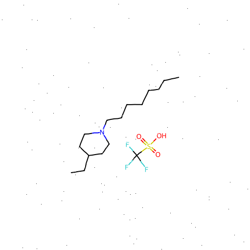 CCCCCCCCN1CCC(CC)CC1.O=S(=O)(O)C(F)(F)F